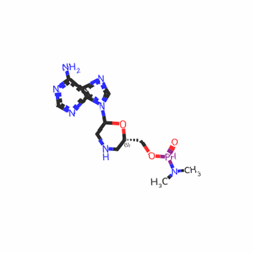 CN(C)[PH](=O)OC[C@@H]1CNCC(n2cnc3c(N)ncnc32)O1